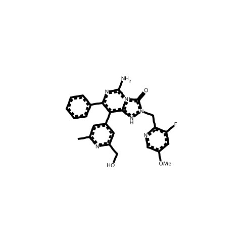 COc1cnc(Cn2[nH]c3c(-c4cc(C)nc(CO)c4)c(-c4ccccc4)nc(N)[n+]3c2=O)c(F)c1